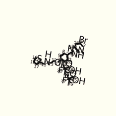 Brc1cnc2[nH]c(-c3ccc(OCCNCc4cccs4)cc3)nc2c1.O=C(O)C(F)(F)F.O=C(O)C(F)(F)F